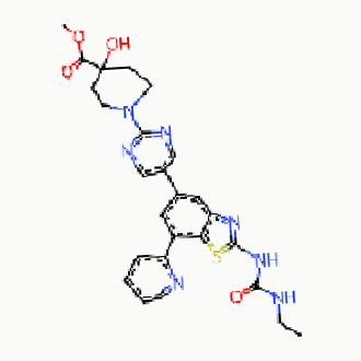 CCNC(=O)Nc1nc2cc(-c3cnc(N4CCC(O)(C(=O)OC)CC4)nc3)cc(-c3ccccn3)c2s1